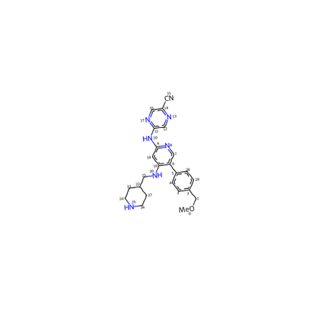 COCc1ccc(-c2cnc(Nc3cnc(C#N)cn3)cc2NCC2CCNCC2)cc1